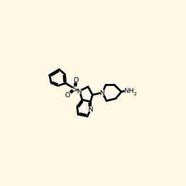 NC1CCN(C2CN(S(=O)(=O)c3ccccc3)c3cccnc32)CC1